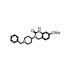 COc1ccc2c(c1)NC(=O)N(C1CCN(Cc3ccccc3)CC1)C2